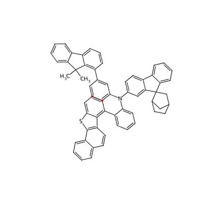 CC1(C)c2ccccc2-c2cccc(-c3cccc(N(c4ccc5c(c4)C4(CC6CCC4C6)c4ccccc4-5)c4ccccc4-c4cccc5sc6c7ccccc7ccc6c45)c3)c21